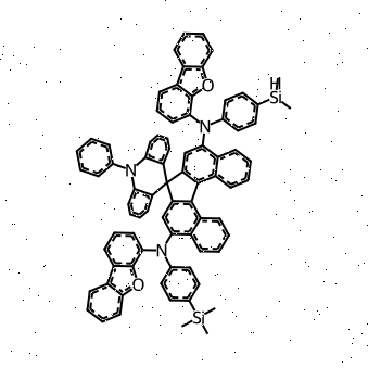 C[SiH](C)c1ccc(N(c2cc3c(c4ccccc24)-c2c(cc(N(c4ccc([Si](C)(C)C)cc4)c4cccc5c4oc4ccccc45)c4ccccc24)C32c3ccccc3N(c3ccccc3)c3ccccc32)c2cccc3c2oc2ccccc23)cc1